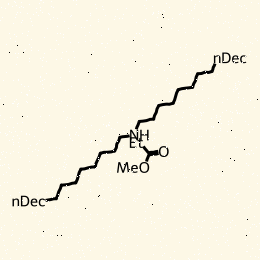 CCC(=O)OC.CCCCCCCCCCCCCCCCCCNCCCCCCCCCCCCCCCCCC